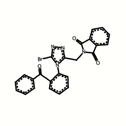 O=C(c1ccccc1)c1ccccc1-n1c(Br)nnc1CN1C(=O)c2ccccc2C1=O